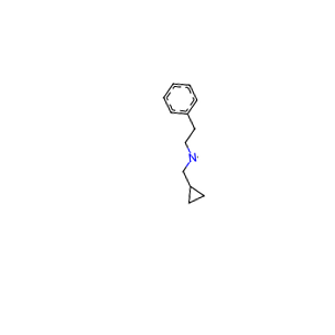 c1ccc(CC[N]CC2CC2)cc1